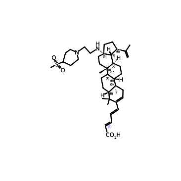 C=C(C)[C@@H]1CC[C@]2(NCCN3CCC(S(C)(=O)=O)CC3)CC[C@]3(C)[C@H](CC[C@@H]4[C@@]5(C)CC=C(C=C/C=C/C(=O)O)C(C)(C)[C@@H]5CC[C@]43C)[C@@H]12